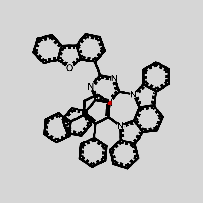 C1=C(n2c3ccccc3c3ccc4c5ccccc5n(-c5nc(-c6ccccc6)nc(-c6cccc7c6oc6ccccc67)n5)c4c32)C(c2ccccc2)=C(c2ccccc2)CC1